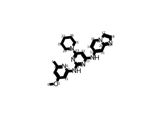 COc1cc(C)nc(Nc2nc(Nc3ccn4ccnc4c3)cc(N3CCCCC3)n2)c1